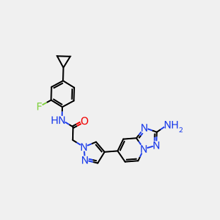 Nc1nc2cc(-c3cnn(CC(=O)Nc4ccc(C5CC5)cc4F)c3)ccn2n1